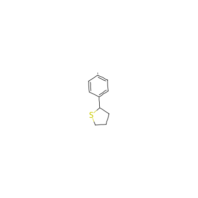 [c]1ccc(C2CCCS2)cc1